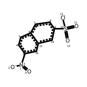 O=[N+]([O-])c1ccc2ccc(S(=O)(=O)Cl)cc2c1